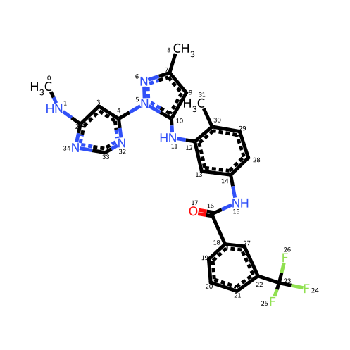 CNc1cc(-n2nc(C)cc2Nc2cc(NC(=O)c3cccc(C(F)(F)F)c3)ccc2C)ncn1